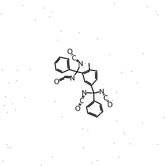 Cc1ccc(C(N=C=O)(N=C=O)c2ccccc2)cc1C(N=C=O)(N=C=O)c1ccccc1